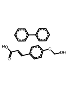 O=C(O)/C=C/c1ccc(OCO)cc1.c1ccc(-c2ccccc2)cc1